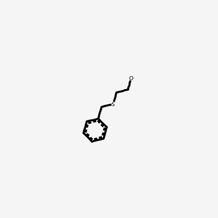 [O]CCSCc1ccccc1